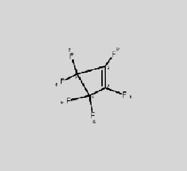 FC1=C(F)C(F)(F)C1(F)F